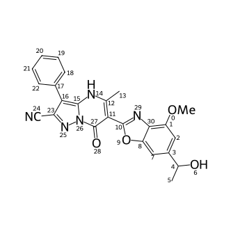 COc1cc(C(C)O)cc2oc(-c3c(C)[nH]c4c(-c5ccccc5)c(C#N)nn4c3=O)nc12